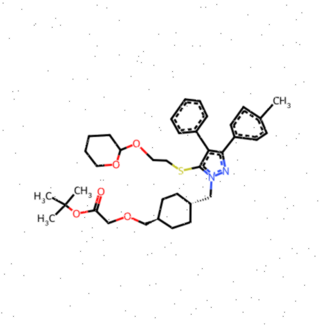 Cc1ccc(-c2nn(C[C@H]3CC[C@H](COCC(=O)OC(C)(C)C)CC3)c(SCCOC3CCCCO3)c2-c2ccccc2)cc1